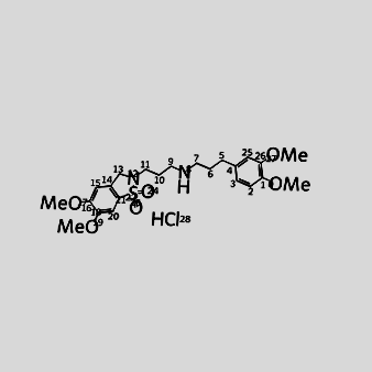 COc1ccc(CCCNCCCN2Cc3cc(OC)c(OC)cc3S2(=O)=O)cc1OC.Cl